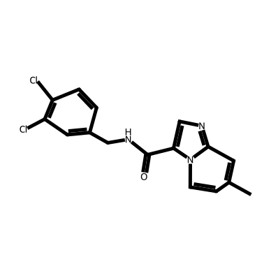 Cc1ccn2c(C(=O)NCc3ccc(Cl)c(Cl)c3)cnc2c1